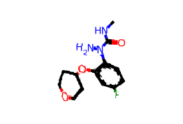 CNC(=O)N(N)c1ccc(F)cc1OC1CCOCC1